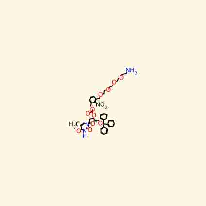 Cc1cn([C@H]2CC(OC(=O)OCc3cccc(COCCOCCOCCOCCN)c3[N+](=O)[O-])[C@@H](COC(c3ccccc3)(c3ccccc3)c3ccccc3)O2)c(=O)[nH]c1=O